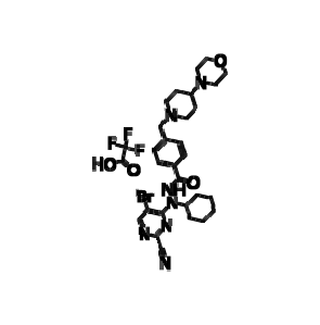 N#Cc1ncc(Br)c(N(NC(=O)c2ccc(CN3CCC(N4CCOCC4)CC3)cc2)C2CCCCC2)n1.O=C(O)C(F)(F)F